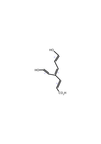 O=C(O)/C=C/C(=C/C=C/O)/C=C/O